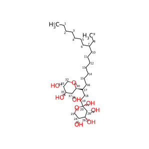 CCCCCCCC(CC)CCCCCCCC(CC[C@@]1(O)OC[C@@H](O)[C@H](O)[C@H]1O)[C@@H]1OC[C@@H](O)[C@H](O)[C@H]1O